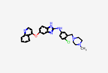 CN1CCN(Cc2cc(Nc3nc4cc(Oc5ccnc6ccccc56)ccc4[nH]3)ccc2Cl)CC1